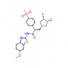 COc1ccc2nc(NC(=O)/C(=C/[C@H]3C[C@@H](F)[C@@H](F)C3)c3ccc(S(C)(=O)=O)cc3)sc2c1